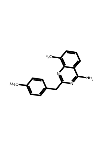 COc1ccc(Cc2nc(N)c3cccc(C(F)(F)F)c3n2)cc1